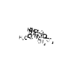 CCC(Oc1ccc(C(F)(F)F)cn1)C1CC(C)CN1C(=O)c1ncc(C)cc1-n1nccn1